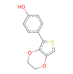 Oc1ccc(-c2scc3c2OCCO3)cc1